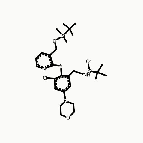 CC(C)(C)[S+]([O-])NCc1cc(N2CCOCC2)cc(Cl)c1Sc1ncccc1CO[Si](C)(C)C(C)(C)C